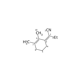 CC/C(C#N)=C1\CCCC(C)=C1C